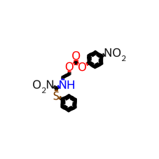 O=C(OCCNC(Sc1ccccc1)[N+](=O)[O-])Oc1ccc([N+](=O)[O-])cc1